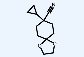 N#CC1(C2CC2)CCC2(CC1)OCCO2